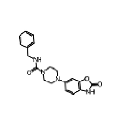 O=C(NCc1ccccc1)N1CCN(c2ccc3[nH]c(=O)oc3c2)CC1